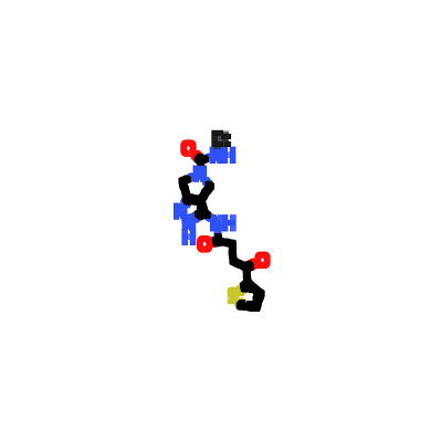 CCNC(=O)N1Cc2n[nH]c(NC(=O)CCC(=O)c3cccs3)c2C1